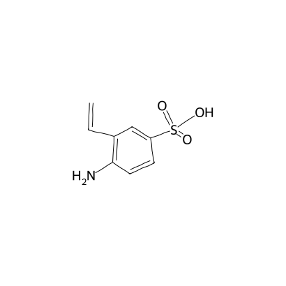 C=Cc1cc(S(=O)(=O)O)ccc1N